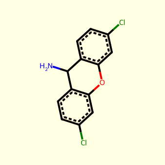 NC1c2ccc(Cl)cc2Oc2cc(Cl)ccc21